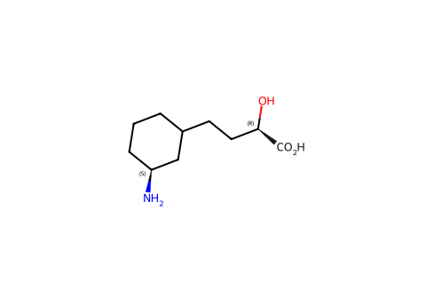 N[C@H]1CCCC(CC[C@@H](O)C(=O)O)C1